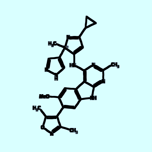 COc1cc2c(cc1-c1c(C)noc1C)[nH]c1nc(C)nc(NC3=CC(C4CC4)=N[N+]3(C)c3cn[nH]c3)c12